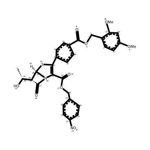 COc1ccc(COC(=O)c2ccc(C3=C(C(=O)OCc4ccc([N+](=O)[O-])cc4)N4C(=O)[C@H]([C@@H](C)O)[C@H]4S3)cc2)c(OC)c1